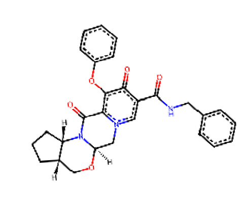 O=C(NCc1ccccc1)c1cn2c(c(Oc3ccccc3)c1=O)C(=O)N1[C@@H](C2)OC[C@@H]2CCC[C@@H]21